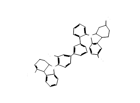 CC1=CCCC2C1c1ccccc1N2c1ccc(-c2cccc(-c3ccccc3N3c4ccc(C#N)cc4C4CCC(C#N)CC43)c2)cc1C#N